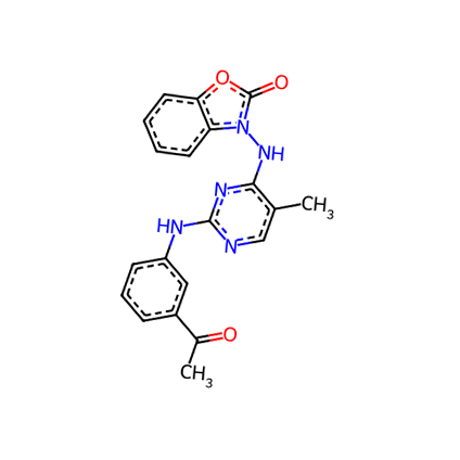 CC(=O)c1cccc(Nc2ncc(C)c(Nn3c(=O)oc4ccccc43)n2)c1